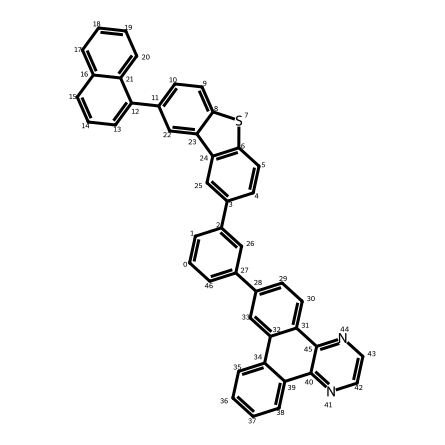 c1cc(-c2ccc3sc4ccc(-c5cccc6ccccc56)cc4c3c2)cc(-c2ccc3c(c2)c2ccccc2c2nccnc32)c1